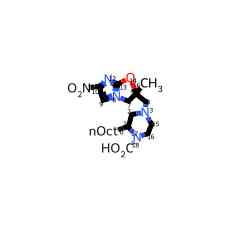 CCCCCCCCC1CN(CC2(C)Cn3cc([N+](=O)[O-])nc3O2)CCN1C(=O)O